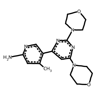 Cc1cc(N)ncc1-c1cc(N2CCOCC2)nc(N2CCOCC2)n1